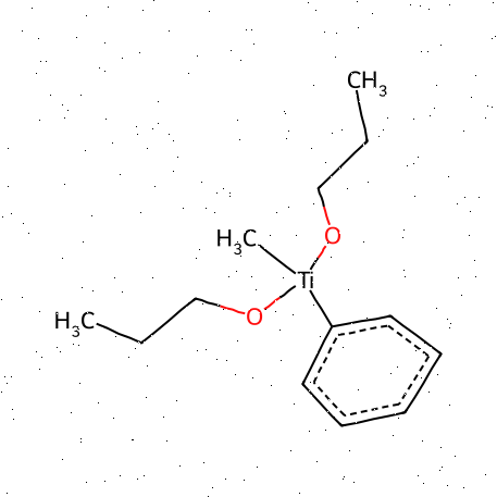 CCC[O][Ti]([CH3])([O]CCC)[c]1ccccc1